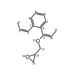 C/C=C\c1ccccc1/C(=C\C)OCC1CO1